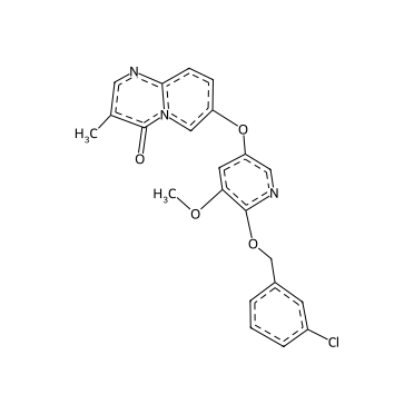 COc1cc(Oc2ccc3ncc(C)c(=O)n3c2)cnc1OCc1cccc(Cl)c1